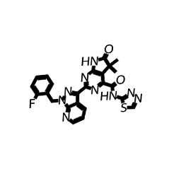 CC1(C)C(=O)Nc2nc(-c3nn(Cc4ccccc4F)c4ncccc34)nc(C(=O)Nc3nncs3)c21